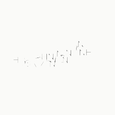 COc1ccc(-c2nc3cnc(N4CCc5nc[nH]c5C4)nc3[nH]2)cc1